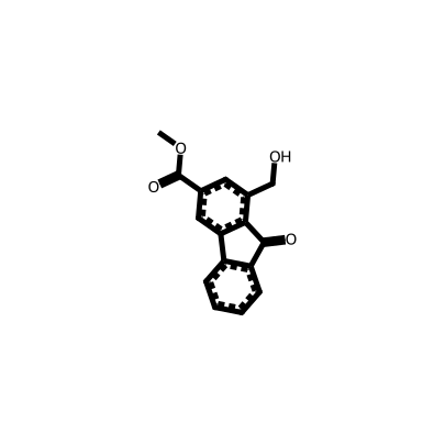 COC(=O)c1cc(CO)c2c(c1)-c1ccccc1C2=O